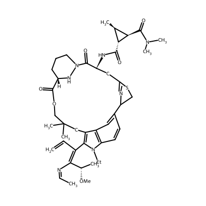 C=C/C(=C(\N=C/C)[C@H](C)OC)c1c2c3cc(ccc3n1CC)C1CSC(=N1)C[C@H](NC(=O)[C@@H]1[C@@H](C)[C@H]1C(=O)N(C)C)C(=O)N1CCC[C@H](N1)C(=O)OCC(C)(C)C2